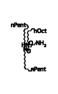 CCCCC/C=C\C/C=C\CCCCCCCCN(CCCCCCCC/C=C\C/C=C\CCCCC)C(=O)C(CCCCN)NC(=O)CCCCCCC/C=C\CCCCCCCC